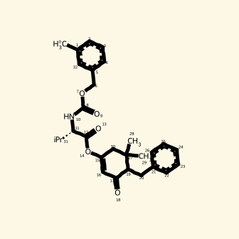 Cc1cccc(COC(=O)N[C@H](C(=O)OC2=CC(=O)C(Cc3ccccc3)C(C)(C)C2)C(C)C)c1